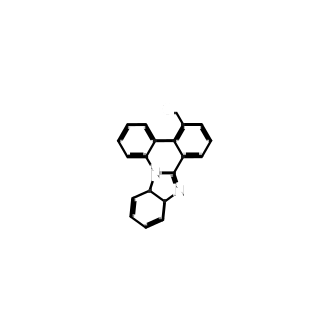 Clc1cccc2c1-c1ccccc1N1C2=NC2C=CC=CC21